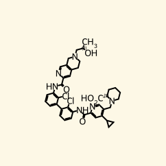 C[C@@H](O)CN1CCc2cc(C(=O)Nc3cccc(-c4cccc(NC(=O)c5cc(C6CC6)c(CN6CCCC[C@H]6C(=O)O)cn5)c4Cl)c3Cl)ncc2C1